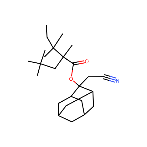 CCC(C)(C)C(C)(CC(C)(C)C)C(=O)OC1(CC#N)C2CC3CC(C2)CC1C3